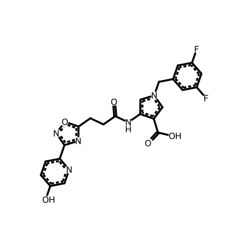 O=C(CCc1nc(-c2ccc(O)cn2)no1)Nc1cn(Cc2cc(F)cc(F)c2)cc1C(=O)O